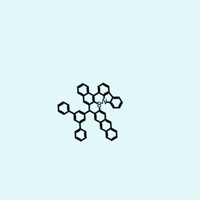 c1ccc(-c2cc(-c3ccccc3)cc(C3c4cc5cc6ccccc6cc5cc4B4c5c3cc3ccccc3c5-c3cccc5c6ccccc6n4c35)c2)cc1